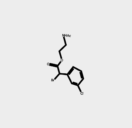 CC(=O)NCCOC(=O)C(Br)c1cccc(Cl)c1